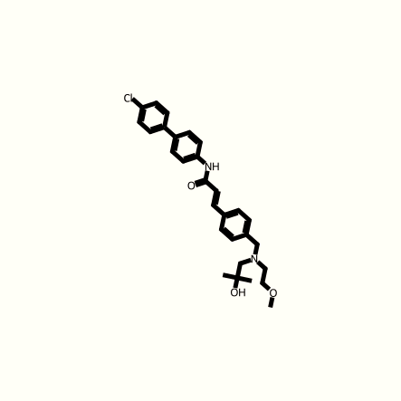 COCCN(Cc1ccc(C=CC(=O)Nc2ccc(-c3ccc(Cl)cc3)cc2)cc1)CC(C)(C)O